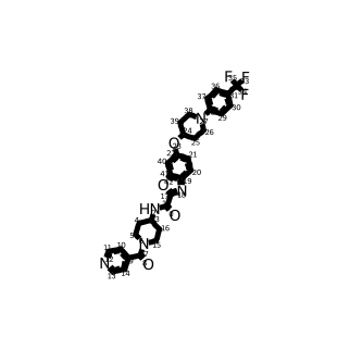 O=C(NC1CCN(C(=O)c2ccncc2)CC1)c1nc2ccc(OC3CCN(c4ccc(C(F)(F)F)cc4)CC3)cc2o1